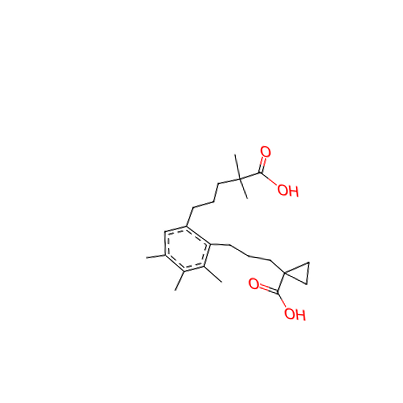 Cc1cc(CCCC(C)(C)C(=O)O)c(CCCC2(C(=O)O)CC2)c(C)c1C